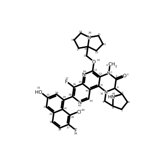 CN1C(=O)C2C3CCC(CN2c2c1c(OCC14CCCN1CCC4)nc1c(F)c(-c4cc(O)cc5ccc(F)c(Cl)c45)ncc21)N3